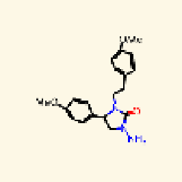 COc1ccc(CCN2C(=O)N(N)CC2c2ccc(OC)cc2)cc1